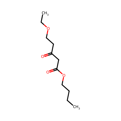 CCCCOC(=O)CC(=O)CCOCC